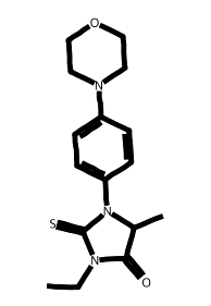 CCN1C(=O)C(C)N(c2ccc(N3CCOCC3)cc2)C1=S